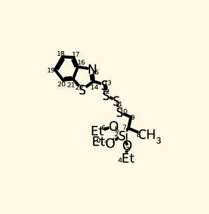 CCO[Si](OCC)(OCC)C(C)CSSSSc1nc2ccccc2s1